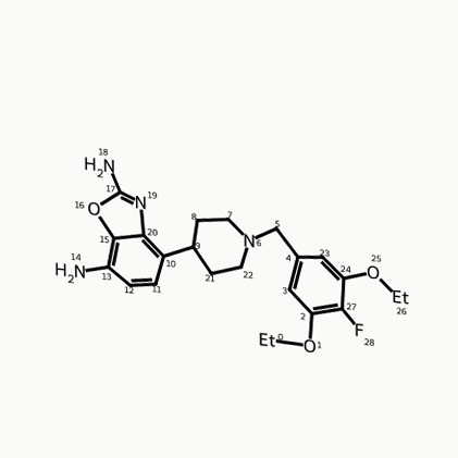 CCOc1cc(CN2CCC(c3ccc(N)c4oc(N)nc34)CC2)cc(OCC)c1F